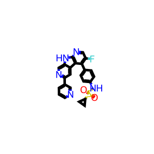 O=S(=O)(Nc1ccc(-c2c(F)cnc3[nH]c4cnc(-c5cccnc5)cc4c23)cc1)C1CC1